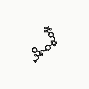 CS(=O)(=O)Nc1ccc(Cc2noc(C3CCN(CC[C@H](NC(=O)CC4CC4)c4ccccc4)CC3)n2)cc1